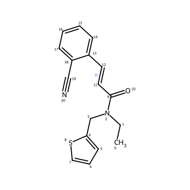 CCN(Cc1cccs1)C(=O)/C=C/c1ccccc1C#N